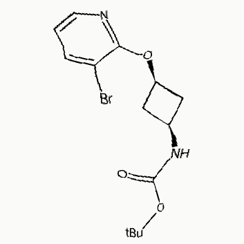 CC(C)(C)OC(=O)N[C@H]1C[C@@H](Oc2ncccc2Br)C1